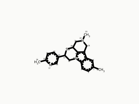 Cc1ccc2c(c1)c1c3n2CC(c2ccc(C)nc2)SC3CN(C)C1